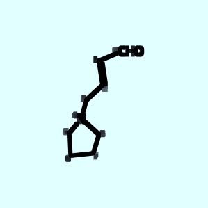 O=CC=CCN1CCCC1